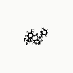 Cc1nc(-c2cccnc2)n(Cc2cc(C(F)(F)F)ccc2Cl)c1C(=O)O